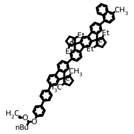 C=COC(CCCC)Oc1ccc(-c2ccc(-c3ccc4c(c3)C3(c5cc(-c6ccc7c(c6)C6(c8cc9c(cc8-7)C7(c8cc(-c%10ccc(C)c%11ccccc%10%11)ccc8-9)C8(CC)CCC7(CC)CC8)C7(CC)CCC6(CC)CC7)ccc5-4)C4(C)CCC3(C)CC4)cc2)cc1